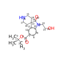 CC(C)(C)OC(=O)c1ccc2c(c1)C1(CCNCC1)C(=O)N2CCO